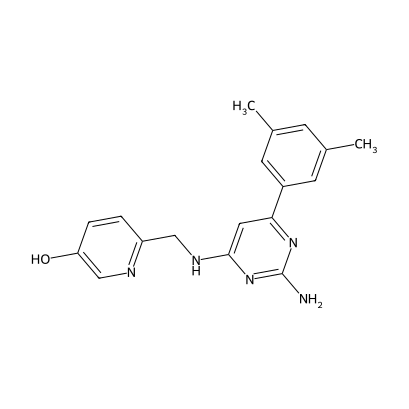 Cc1cc(C)cc(-c2cc(NCc3ccc(O)cn3)nc(N)n2)c1